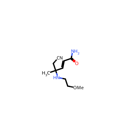 COCCNC(C)(C=CC(N)=O)CC#N